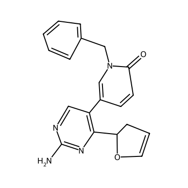 Nc1ncc(-c2ccc(=O)n(Cc3ccccc3)c2)c(C2CC=CO2)n1